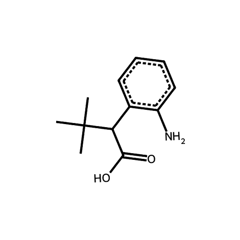 CC(C)(C)C(C(=O)O)c1ccccc1N